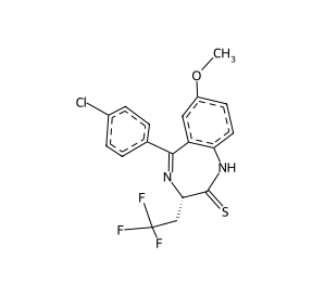 COc1ccc2c(c1)C(c1ccc(Cl)cc1)=N[C@@H](CC(F)(F)F)C(=S)N2